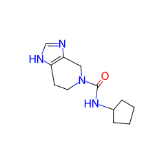 O=C(NC1CCCC1)N1CCc2[nH]cnc2C1